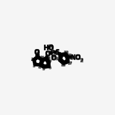 O=C1CCc2cccc(OP(=O)(O)Sc3cccc([N+](=O)[O-])c3)c21